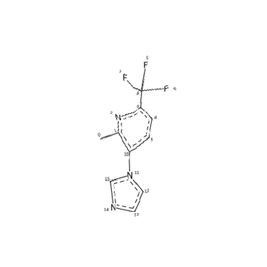 Cc1nc(C(F)(F)F)ccc1-n1ccnc1